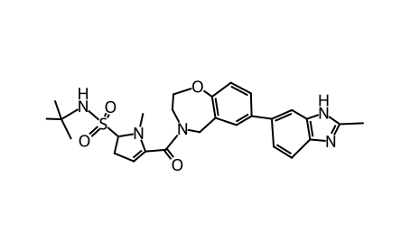 Cc1nc2ccc(-c3ccc4c(c3)CN(C(=O)C3=CCC(S(=O)(=O)NC(C)(C)C)N3C)CCO4)cc2[nH]1